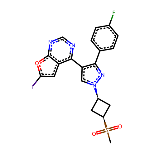 CS(=O)(=O)[C@H]1C[C@@H](n2cc(-c3ncnc4oc(I)cc34)c(-c3ccc(F)cc3)n2)C1